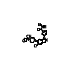 CCNC(=O)n1cc(-n2ncc3cc(Cl)c(N4CCN(C5(C)COC5)CC4)cc32)cn1